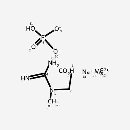 CN(CC(=O)O)C(=N)N.O=P([O-])([O-])O.[Cl-].[Mg+2].[Na+]